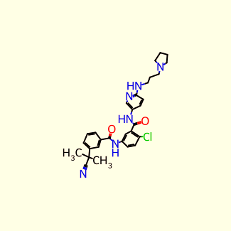 CC(C)(C#N)c1cccc(C(=O)Nc2ccc(Cl)c(C(=O)Nc3ccc(NCCCN4CCCC4)nc3)c2)c1